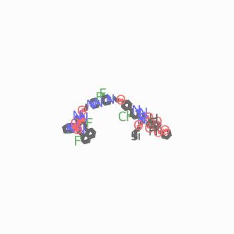 C#Cc1c(F)ccc2cccc(-c3nc(N4CC5CCC(C4)N5C(=O)OC(C)(C)C)c4cnc(OCCN5CCN(C6CCN(CCOc7ccc(-c8nc9nc(O[C@@H]%10CO[C@H]%11[C@@H]%10OC[C@H]%11OC%10CCCCO%10)n(COCC[Si](C)(C)C)c9cc8Cl)cc7)CC6(F)F)CC5)nc4c3F)c12